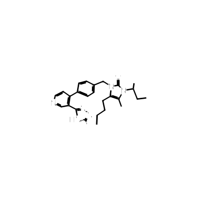 CCCCc1c(C)n(C(C)CC)c(=O)n1Cc1ccc(-c2ccncc2-c2nnn[nH]2)cc1